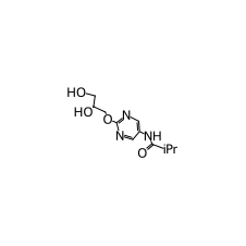 CC(C)C(=O)Nc1cnc(OC[C@H](O)CO)nc1